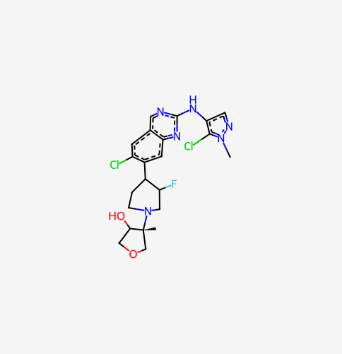 Cn1ncc(Nc2ncc3cc(Cl)c(C4CCN([C@]5(C)COCC5O)CC4F)cc3n2)c1Cl